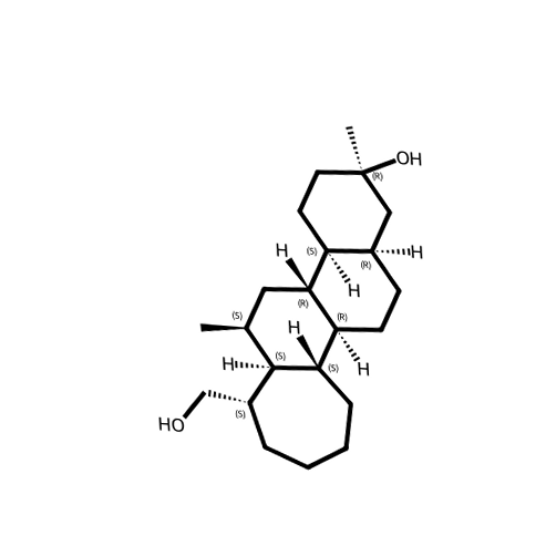 C[C@H]1C[C@H]2[C@@H](CC[C@@H]3C[C@](C)(O)CC[C@@H]32)[C@@H]2CCCC[C@H](CO)[C@H]21